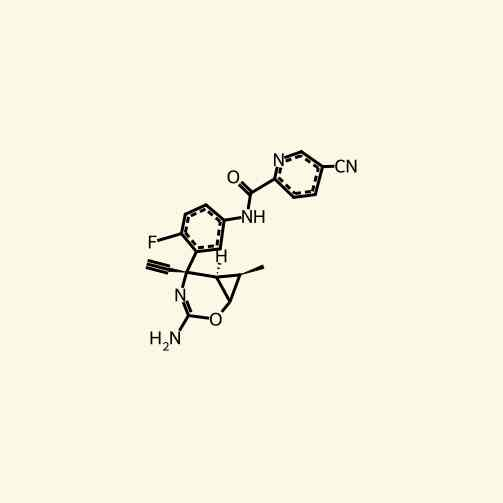 C#C[C@]1(c2cc(NC(=O)c3ccc(C#N)cn3)ccc2F)N=C(N)OC2[C@@H]1[C@H]2C